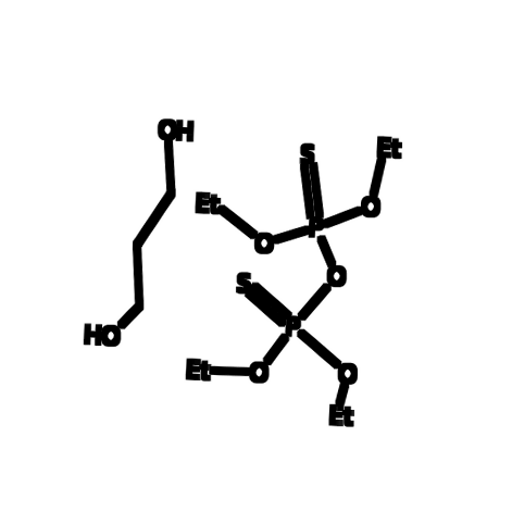 CCOP(=S)(OCC)OP(=S)(OCC)OCC.OCCCO